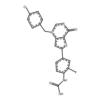 O=C(O)Nc1ccc(-c2cc3c(s2)c(=O)ncn3Cc2ccc(Cl)cc2)cc1F